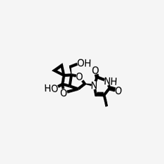 Cc1cn([C@@H]2O[C@]3(CO)C4C2OC4(O)C32CC2)c(=O)[nH]c1=O